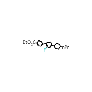 CCCC1CCC(c2ccc(-c3ccc(C(=O)OCC)cc3)c(F)c2)CC1